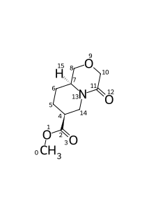 COC(=O)[C@H]1CC[C@H]2COCC(=O)N2C1